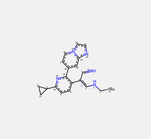 CC(C)(C)CN/C=C(\C=N)c1ccc(C2CC2)nc1-c1ccn2ccnc2c1